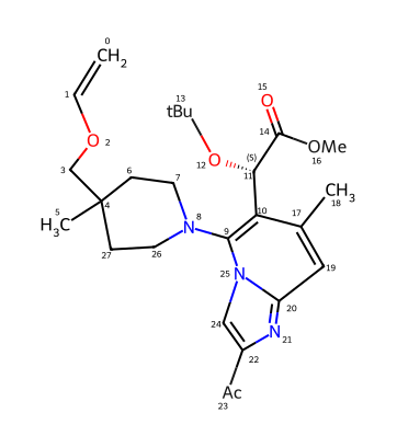 C=COCC1(C)CCN(c2c([C@H](OC(C)(C)C)C(=O)OC)c(C)cc3nc(C(C)=O)cn23)CC1